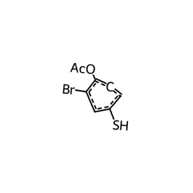 CC(=O)Oc1ccc(S)cc1Br